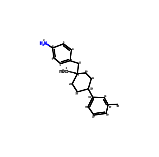 CCCCCCCCC1(Cc2ccc(N)cc2)CCC(c2cccc(C)c2)CC1